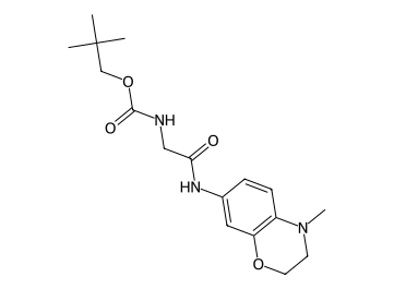 CN1CCOc2cc(NC(=O)CNC(=O)OCC(C)(C)C)ccc21